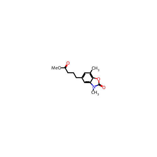 COC(=O)CCCc1cc(C)c2oc(=O)n(C)c2c1